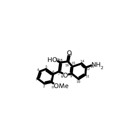 COc1ccccc1-c1oc2ccc(N)cc2c(=O)c1O